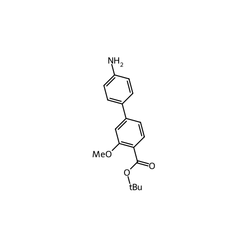 COc1cc(-c2ccc(N)cc2)ccc1C(=O)OC(C)(C)C